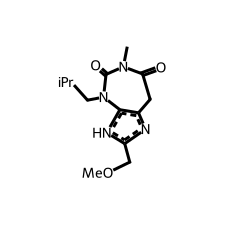 COCc1nc2c([nH]1)N(CC(C)C)C(=O)N(C)C(=O)C2